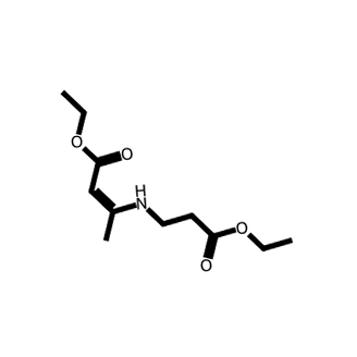 CCOC(=O)C=C(C)NCCC(=O)OCC